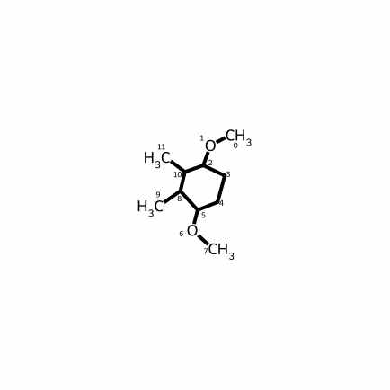 COC1CCC(OC)C(C)C1C